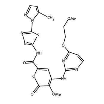 COCCOc1ccnc(Nc2cc(C(=O)Nc3nnc(-n4nccc4C)s3)oc(=O)c2OC)n1